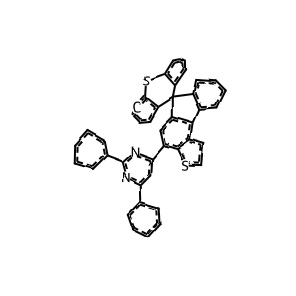 c1ccc(-c2cc(-c3cc4c(c5ccsc35)-c3ccccc3C43c4ccccc4Sc4ccccc43)nc(-c3ccccc3)n2)cc1